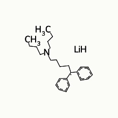 CCCCN(CCCC)CCCC[C](c1ccccc1)c1ccccc1.[LiH]